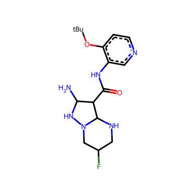 CC(C)(C)Oc1ccncc1NC(=O)C1C(N)NN2CC(F)CNC12